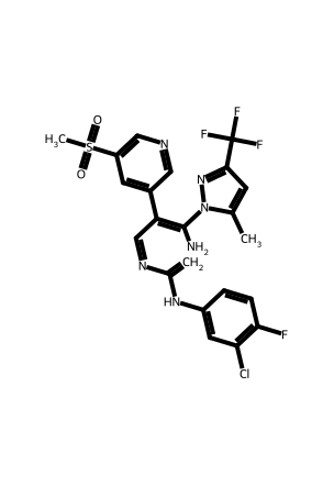 C=C(/N=C\C(=C(/N)n1nc(C(F)(F)F)cc1C)c1cncc(S(C)(=O)=O)c1)Nc1ccc(F)c(Cl)c1